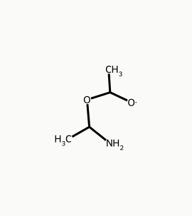 CC(N)OC(C)[O]